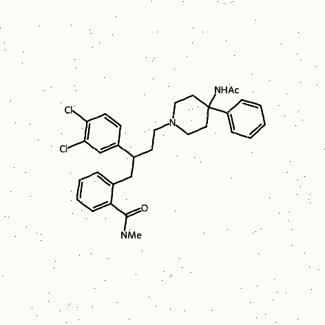 CNC(=O)c1ccccc1CC(CCN1CCC(NC(C)=O)(c2ccccc2)CC1)c1ccc(Cl)c(Cl)c1